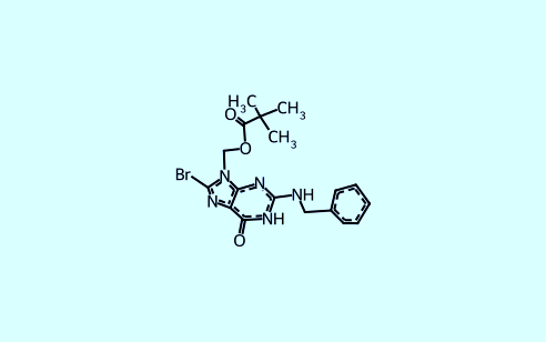 CC(C)(C)C(=O)OCn1c(Br)nc2c(=O)[nH]c(NCc3ccccc3)nc21